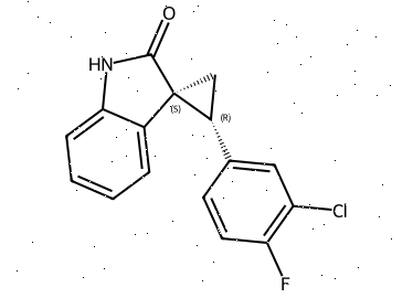 O=C1Nc2ccccc2[C@@]12C[C@@H]2c1ccc(F)c(Cl)c1